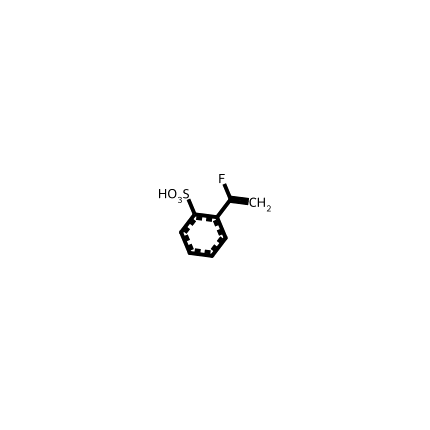 C=C(F)c1ccccc1S(=O)(=O)O